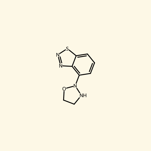 c1cc(N2NCCO2)c2nnsc2c1